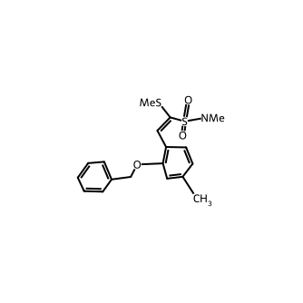 CNS(=O)(=O)/C(=C\c1ccc(C)cc1OCc1ccccc1)SC